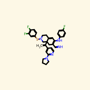 C=C(c1ccnc(N2CCCC2)c1)C12CC(C=N)=C(Nc3ccc(F)cc3)C=C1CCN(Sc1ccc(F)c(F)c1)C2